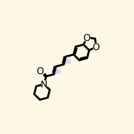 O=C(/C=C/C=C/C1=CC2OCOC2C=C1)N1CCCCC1